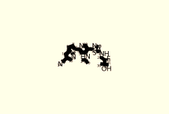 CC(C)Nc1cc(-c2ccc3cc(C#N)cnn23)ncc1-c1nnc(NC[C@@H](F)C(C)(C)O)s1